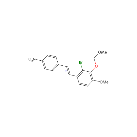 COCOc1c(OC)ccc(/C=C/c2ccc([N+](=O)[O-])cc2)c1Br